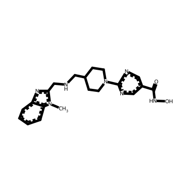 Cn1c(CNCC2CCN(c3ncc(C(=O)NO)cn3)CC2)nc2ccccc21